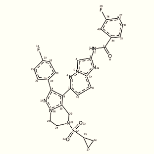 O=C(Nc1cn2nc(-c3c(-c4ccc(F)cc4)nn4c3CN(S(=O)(=O)C3CC3)CC4)ccc2n1)c1ccnc(F)c1